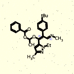 CCn1nc(C)cc1/C(OC(C)OC(=O)c1ccccc1)=C(\C=N\C)c1ccc(C(C)(C)C)cc1